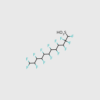 O=S(=O)(O)C(F)C(F)(F)C(F)C(F)C(F)C(F)C(F)C(F)C(F)C(F)C(F)C(F)F